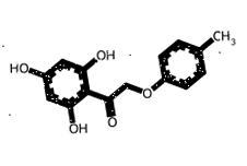 Cc1ccc(OCC(=O)c2c(O)cc(O)cc2O)cc1